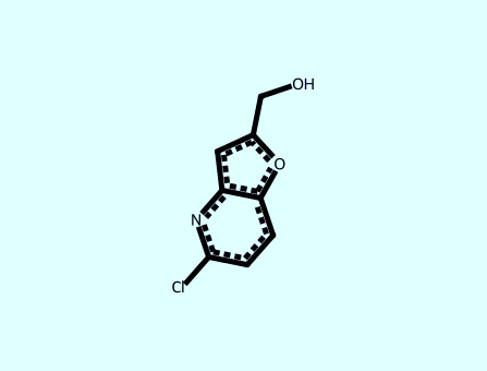 OCc1cc2nc(Cl)ccc2o1